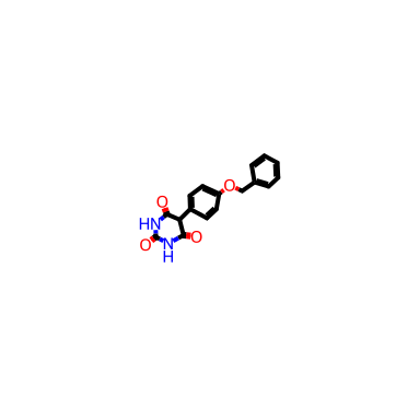 O=C1NC(=O)C(c2ccc(OCc3ccccc3)cc2)C(=O)N1